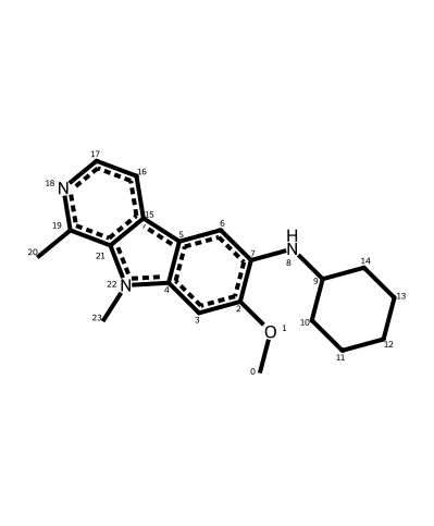 COc1cc2c(cc1NC1CCCCC1)c1ccnc(C)c1n2C